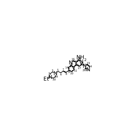 CCN1CCN(CCC=Cc2ccc3c(c2)ncc2c(N)nc(-n4ccnc4)cc23)CC1